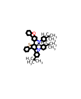 CC(C)(C)c1ccc(N2B3c4cc(C(C)(C)C)ccc4-n4c5ccc(C(C)(C)C)cc5c5c6c(sc7ccccc76)c(c3c54)-c3cc4c(cc32)oc2ccccc24)cc1